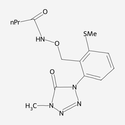 CCCC(=O)NOCc1c(SC)cccc1-n1nnn(C)c1=O